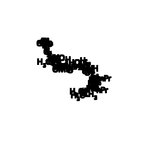 CCCC1=CC(CCC(=O)NC(CS(=O)(=O)O)C(=O)NCCCCC(=O)NCCOc2cc([N+](=O)[O-])c(C(C)NCCOCCN3C(=O)C=CC3=O)cc2OC)=[N+]2C1=Cc1c(CCC)cc(CCC[N+](C)(C)C)n1[B-]2(F)F